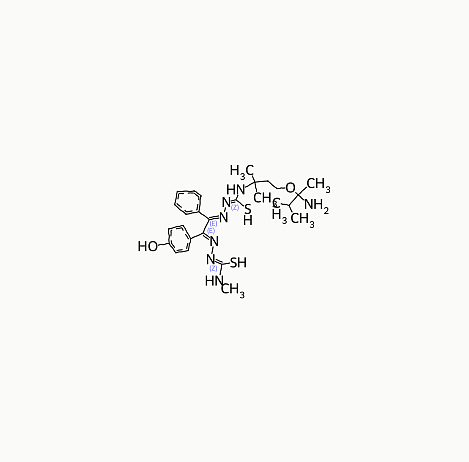 CN/C(S)=N/N=C(/C(=N/N=C(\S)NC(C)(C)CCOC(C)(N)C(C)C)c1ccccc1)c1ccc(O)cc1